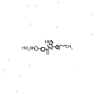 C=CCCn1cc(-c2nc(Nc3ccc(C4CCN(C(=O)O)CC4)cc3)nc3[nH]ccc23)cn1